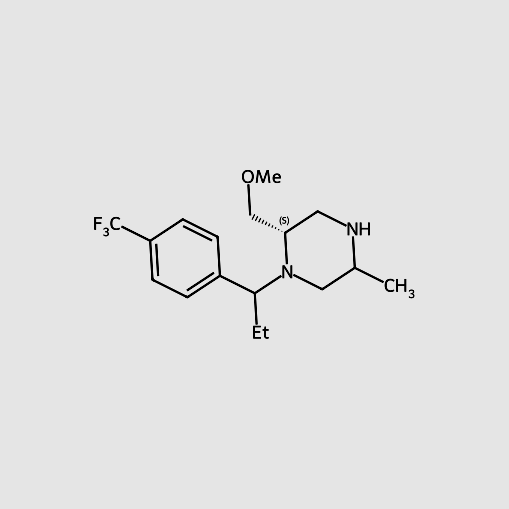 CCC(c1ccc(C(F)(F)F)cc1)N1CC(C)NC[C@H]1COC